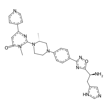 C[C@@H]1CN(c2ccc(-c3noc([C@@H](N)Cc4cnc[nH]4)n3)cc2)CCN1c1nc(-c2ccncc2)cc(=O)n1C